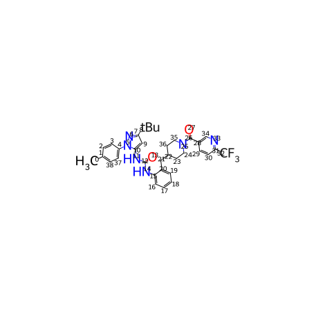 Cc1ccc(-n2nc(C(C)(C)C)cc2NC(=O)Nc2ccccc2CC2CCN(C(=O)c3ccc(C(F)(F)F)nc3)CC2)cc1